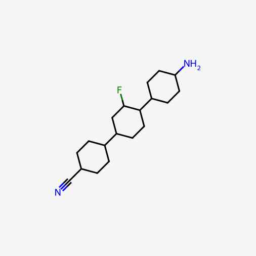 N#CC1CCC(C2CCC(C3CCC(N)CC3)C(F)C2)CC1